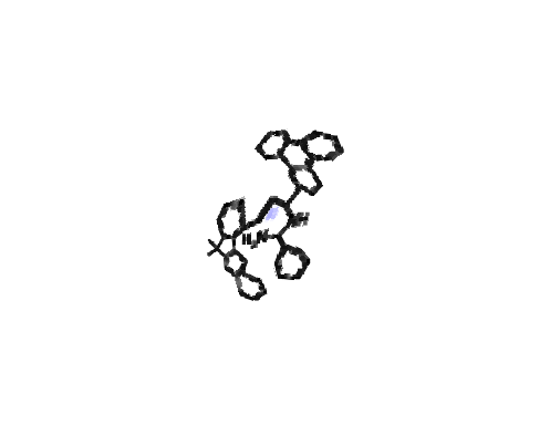 CC1(C)c2cc3ccccc3cc2-c2c(/C=C/C(NC(N)c3ccccc3)c3ccc4c5ccccc5c5ccccc5c4c3)cccc21